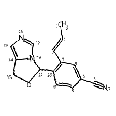 C/C=C/c1cc(C#N)ccc1C1CCc2cncn21